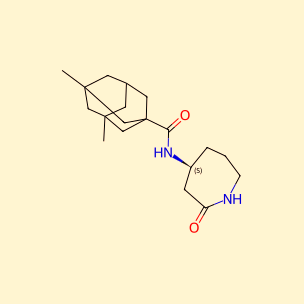 CC12CC3CC(C)(C1)CC(C(=O)N[C@H]1CCCNC(=O)C1)(C3)C2